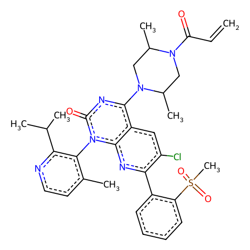 C=CC(=O)N1CC(C)N(c2nc(=O)n(-c3c(C)ccnc3C(C)C)c3nc(-c4ccccc4S(C)(=O)=O)c(Cl)cc23)CC1C